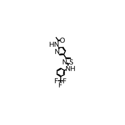 CC(=O)Nc1ccc(-c2csc(Nc3cccc(C(F)(F)F)c3)n2)cn1